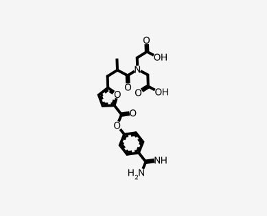 CC(Cc1ccc(C(=O)Oc2ccc(C(=N)N)cc2)o1)C(=O)N(CC(=O)O)CC(=O)O